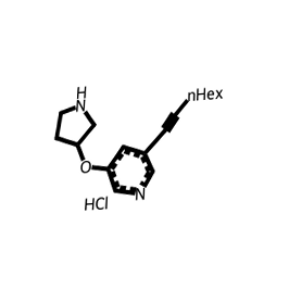 CCCCCCC#Cc1cncc(OC2CCNC2)c1.Cl